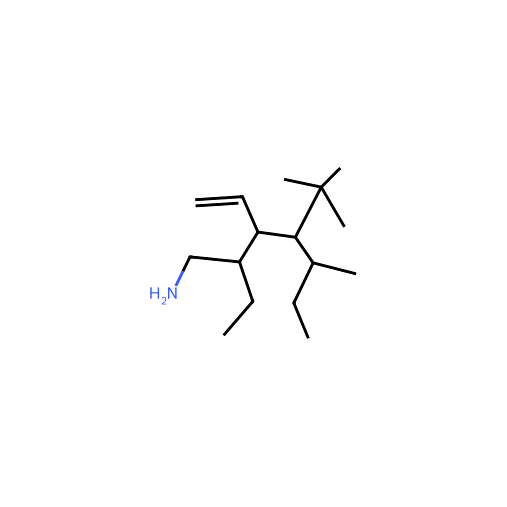 C=CC(C(CC)CN)C(C(C)CC)C(C)(C)C